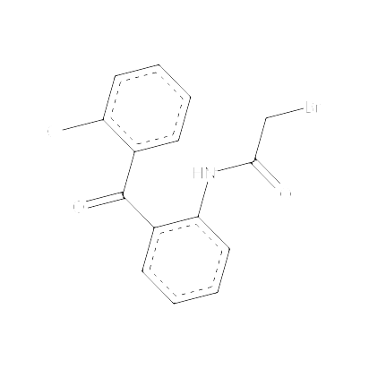 O=C(CBr)Nc1ccccc1C(=O)c1ccccc1Cl